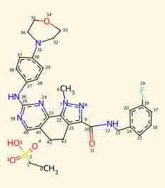 CCS(=O)(=O)O.Cn1nc(C(=O)NCc2cccc(F)c2)c2c1-c1nc(Nc3ccc(N4CCOCC4)cc3)ncc1CC2